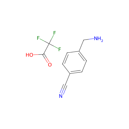 N#Cc1ccc(CN)cc1.O=C(O)C(F)(F)F